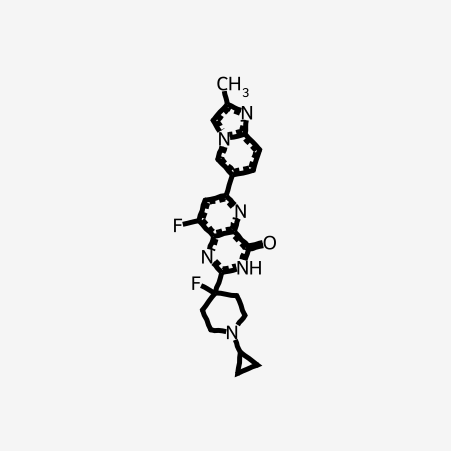 Cc1cn2cc(-c3cc(F)c4nc(C5(F)CCN(C6CC6)CC5)[nH]c(=O)c4n3)ccc2n1